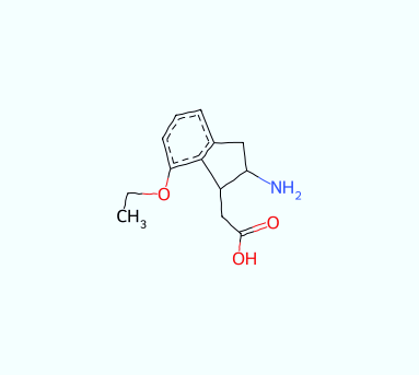 CCOc1cccc2c1C(CC(=O)O)C(N)C2